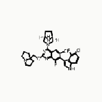 Fc1c(-c2c[nH]c3ccc(Cl)c(F)c23)c(Cl)cc2c(N3C[C@H]4CC[C@@H](C3)N4)nc(OCC34CCCN3CCC4)nc12